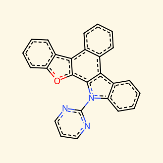 c1cnc(-n2c3ccccc3c3c4ccccc4c4c5ccccc5oc4c32)nc1